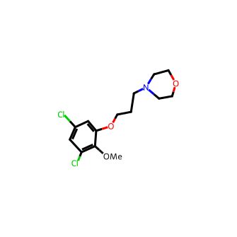 COc1c(Cl)cc(Cl)cc1OCCCN1CCOCC1